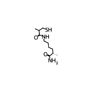 CC(CS)C(=O)NCCCC[C@H](C)C(N)=O